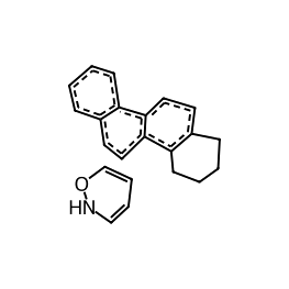 C1=CNOC=C1.c1ccc2c(c1)ccc1c3c(ccc12)CCCC3